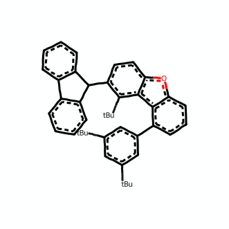 CC(C)(C)c1cc(-c2cccc3oc4ccc(C5c6ccccc6-c6ccccc65)c(C(C)(C)C)c4c23)cc(C(C)(C)C)c1